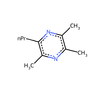 CCCc1nc(C)c(C)nc1C